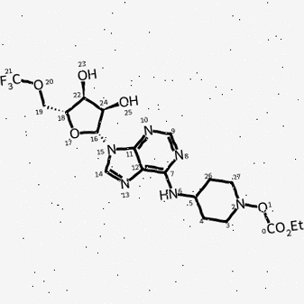 CCOC(=O)ON1CCC(Nc2ncnc3c2ncn3[C@@H]2O[C@H](COC(F)(F)F)[C@@H](O)[C@H]2O)CC1